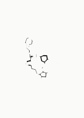 Cc1ccc(C)c(SC[C@H]2C(Cl)CC(O)[C@@H]2CCCc2ncc(C(=O)OCCN3CCOCC3)s2)c1